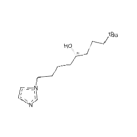 CC(C)(C)CCC[C@@H](O)CCCCn1ccnc1